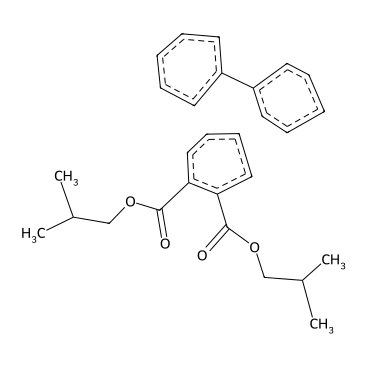 CC(C)COC(=O)c1ccccc1C(=O)OCC(C)C.c1ccc(-c2ccccc2)cc1